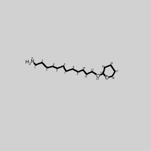 NCCCCCCCCCCCCOC1CCCCO1